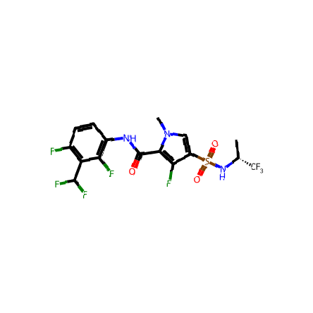 C[C@@H](NS(=O)(=O)c1cn(C)c(C(=O)Nc2ccc(F)c(C(F)F)c2F)c1F)C(F)(F)F